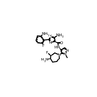 Cn1ncc(NC(=O)c2nc(-c3c(N)cccc3F)sc2N)c1N1CCCC(N)C(F)C1